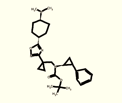 CN(C)[C@H]1CC[C@H](c2nc(C3(CN(C(=O)OC(C)(C)C)[C@H]4CC4c4ccccc4)CC3)no2)CC1